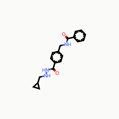 O=C(NCc1ccc(C(=O)NNCC2CC2)cc1)c1ccccc1